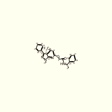 C[C@@H](NC(=O)COc1cc(C(F)(F)F)c2c(-c3ccccc3)nn(C)c2n1)c1ccccc1